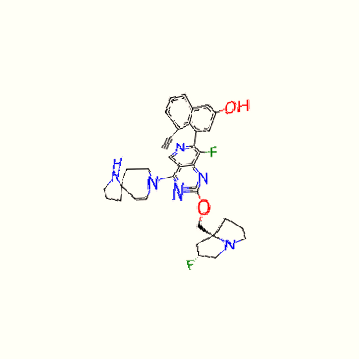 C#Cc1cccc2cc(O)cc(-c3ncc4c(N5CCC6(CCCN6)CC5)nc(OC[C@@]56CCCN5C[C@H](F)C6)nc4c3F)c12